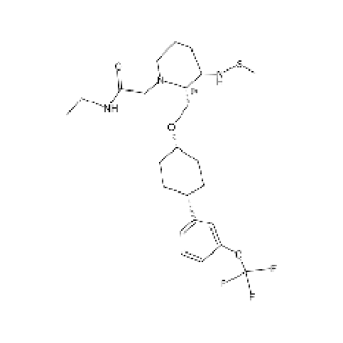 CCNC(=O)CN1CCCC(NSC)[C@@H]1CO[C@H]1CC[C@@H](c2cccc(OC(F)(F)F)c2)CC1